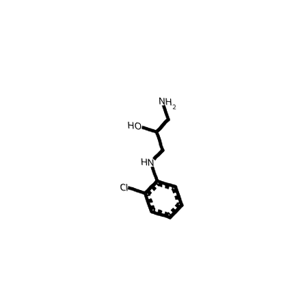 NCC(O)CNc1ccccc1Cl